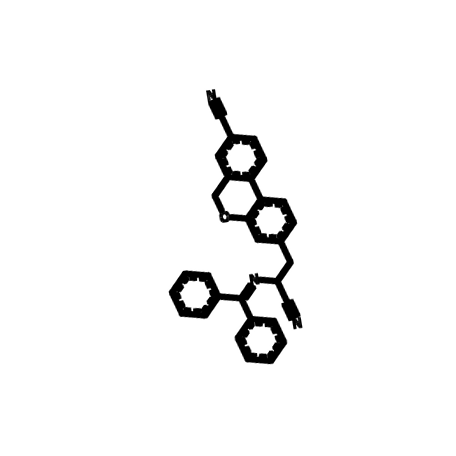 N#Cc1ccc2c(c1)COc1cc(CC(C#N)N=C(c3ccccc3)c3ccccc3)ccc1-2